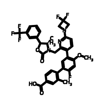 COc1cc(F)c(-c2ccc(C(=O)O)cc2C)cc1-c1ccc(N2CC(F)(F)C2)nc1CN1C(=O)OC(c2cccc(C(F)(F)F)c2)[C@@H]1C